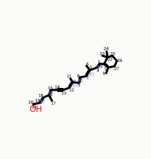 CC1=C(/C=C/C(C)=C/C=C/C(C)=C/C#C/C=C(C)/C=C/CO)C(C)(C)CCC1